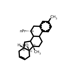 CCC[C@@H]1Cc2cc(C)ccc2C2CC[C@@]3(C)C(C[C@H]4CC=CC[C@]43O)C21